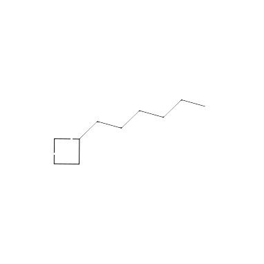 [CH2]CCCC[CH]C1CCC1